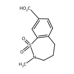 CN1CCCc2ccc(C(=O)O)cc2S1(=O)=O